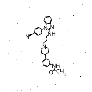 CC(=O)Nc1cccc(C2CCN(CCCNc3nc4ccccc4n3-c3ccc(C#N)cc3)CC2)c1